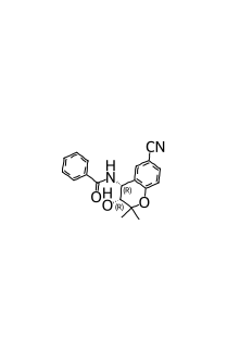 CC1(C)Oc2ccc(C#N)cc2[C@@H](NC(=O)c2ccccc2)[C@H]1O